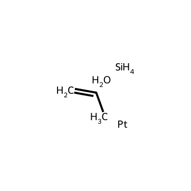 C=CC.O.[Pt].[SiH4]